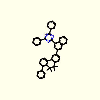 CC1(C)c2ccc(-c3cc(-c4nc(-c5ccccc5)nc(-c5ccccc5)n4)c4ccccc4c3)cc2-c2cccc(-c3ccccc3)c2C1(C)C